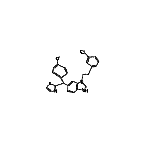 Clc1ccc(C(c2ccc3c(c2)N(CCc2cccc(Cl)c2)CN3)c2nccs2)cc1